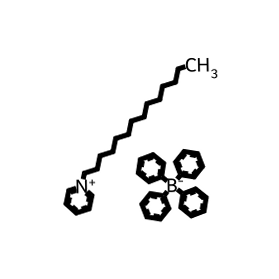 CCCCCCCCCCCCCC[n+]1ccccc1.c1ccc([B-](c2ccccc2)(c2ccccc2)c2ccccc2)cc1